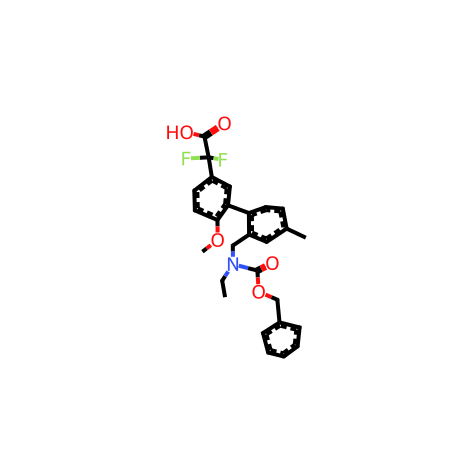 CCN(Cc1cc(C)ccc1-c1cc(C(F)(F)C(=O)O)ccc1OC)C(=O)OCc1ccccc1